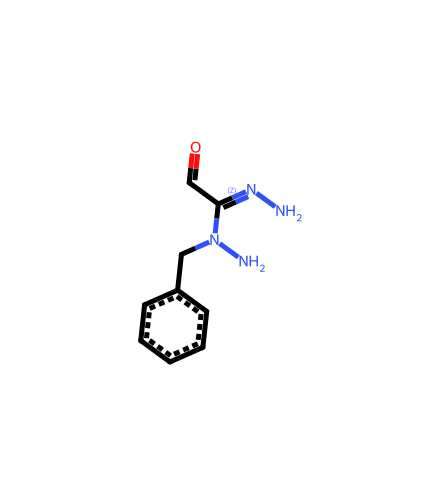 N/N=C(/C=O)N(N)Cc1ccccc1